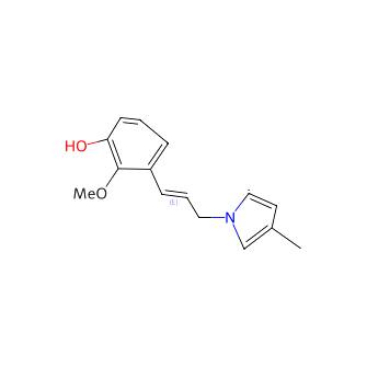 COc1c(O)cccc1/C=C/Cn1[c]cc(C)c1